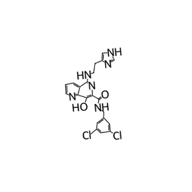 O=C(NCc1cc(Cl)cc(Cl)c1)c1nc(NCCc2c[nH]cn2)c2cccnc2c1O